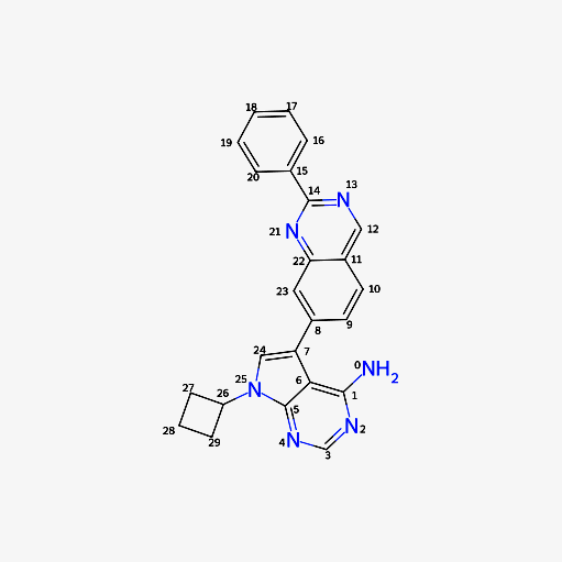 Nc1ncnc2c1c(-c1ccc3cnc(-c4ccccc4)nc3c1)cn2C1CCC1